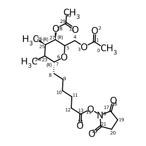 CC(=O)OCC1O[C@H](CCCCCC(=O)ON2C(=O)CCC2=O)C(C)[C@@H](C)[C@H]1OC(C)=O